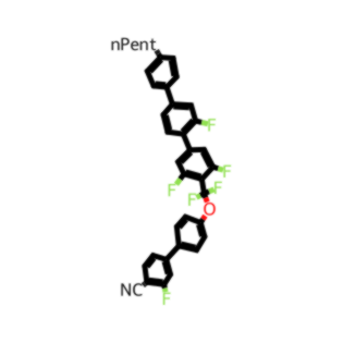 CCCCCc1ccc(-c2ccc(-c3cc(F)c(C(F)(F)Oc4ccc(-c5ccc(C#N)c(F)c5)cc4)c(F)c3)c(F)c2)cc1